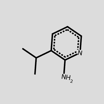 CC(C)c1cccnc1N